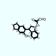 O=CC(=O)ON1CC(c2cc3c(cc2O)CCC3)c2ccccc21